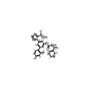 Cc1ccc(-c2cc(OC(=O)NC(C)c3cncnc3)cc(-n3nnnc3C(C)O)c2)c(F)c1